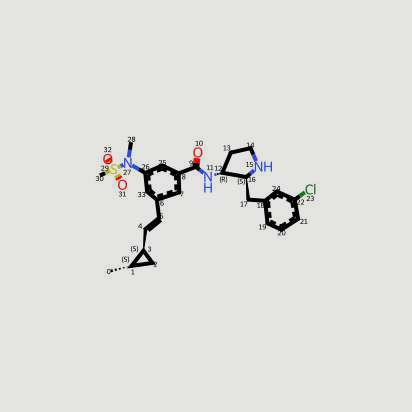 C[C@H]1C[C@@H]1C=Cc1cc(C(=O)N[C@@H]2CCN[C@H]2Cc2cccc(Cl)c2)cc(N(C)S(C)(=O)=O)c1